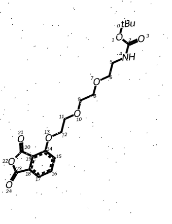 CC(C)(C)OC(=O)NCCOCCOCCOc1cccc2c1C(=O)OC2=O